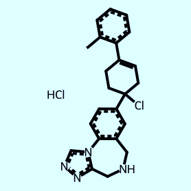 Cc1ccccc1C1=CCC(Cl)(c2ccc3c(c2)CNCc2nncn2-3)CC1.Cl